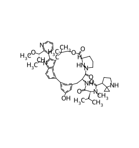 CCn1c(-c2cccnc2[C@H](C)OC)c2c3cc(ccc31)-c1cc(O)cc(c1)C[C@H](NC(=O)[C@H](C(C)C)N(C)C(=O)C1CCNC13CC3)C(=O)N1CCC[C@H](N1)C(=O)OCC(C)(C)C2